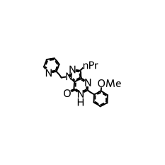 CCCc1nn(Cc2ccccn2)c2c(=O)[nH]c(-c3ccccc3OC)nc12